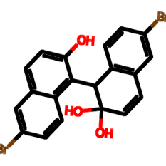 Oc1ccc2cc(Br)ccc2c1C1c2ccc(Br)cc2C=CC1(O)O